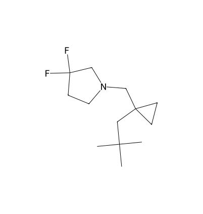 CC(C)(C)CC1(CN2CCC(F)(F)C2)CC1